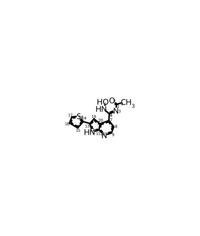 CC(=O)N=C(NO)c1ccnc2[nH]c(-c3cccs3)cc12